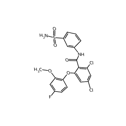 COc1cc(F)ccc1Oc1cc(Cl)cc(Cl)c1C(=O)Nc1cccc(S(N)(=O)=O)c1